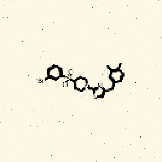 Cc1ccc(Cc2csc(N3CCC(S(=O)(=O)c4cccc(Br)c4)CC3)n2)cc1C